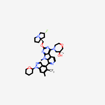 Cc1cc2c(cnn2C2CCCCO2)c(-c2nccc3c4c(N5CCOC[C@@](C)(O)C5)nc(OC[C@@]56CCCN5C[C@H](F)C6)nc4n(C)c23)c1C(F)(F)F